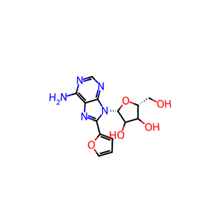 Nc1ncnc2c1nc(-c1ccco1)n2[C@@H]1O[C@H](CO)C(O)C1O